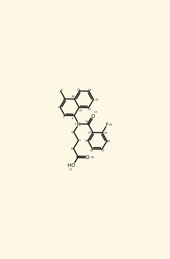 Cc1ccc(N(CCCC(=O)O)C(=O)c2ccccc2F)c2ccccc12